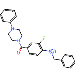 O=C(c1ccc(NCc2ccccc2)c(F)c1)N1CCN(c2ccccc2)CC1